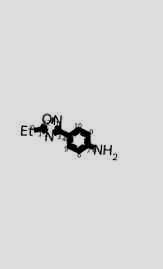 CCc1nc(-c2ccc(N)cc2)no1